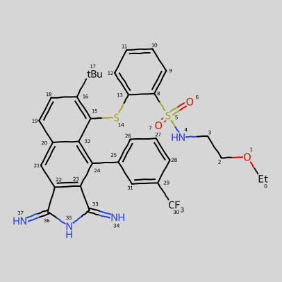 CCOCCNS(=O)(=O)c1ccccc1Sc1c(C(C)(C)C)ccc2cc3c(c(-c4cccc(C(F)(F)F)c4)c12)C(=N)NC3=N